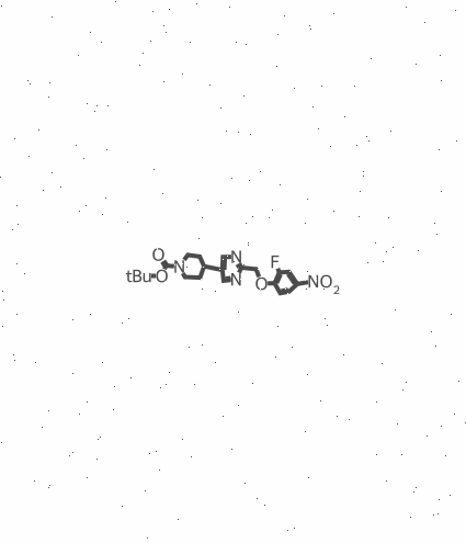 CC(C)(C)OC(=O)N1CCC(c2cnc(COc3ccc([N+](=O)[O-])cc3F)nc2)CC1